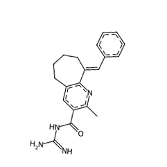 Cc1nc2c(cc1C(=O)NC(=N)N)CCCC/C2=C\c1ccccc1